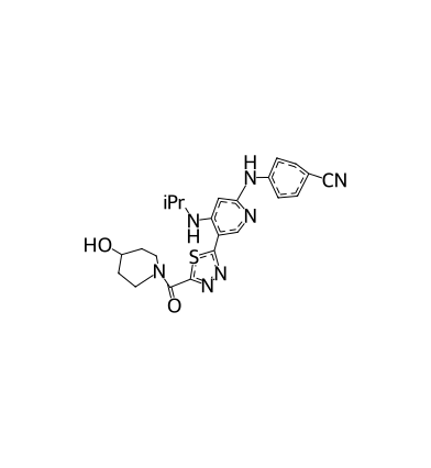 CC(C)Nc1cc(Nc2ccc(C#N)cc2)ncc1-c1nnc(C(=O)N2CCC(O)CC2)s1